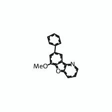 COc1cc(-c2ccccc2)cc2c1oc1cccnc12